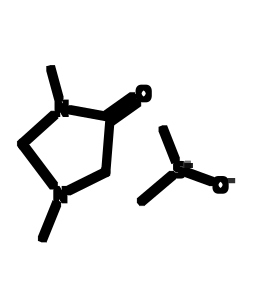 CN1CC(=O)N(C)C1.C[S+](C)[O-]